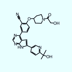 CC(C)(O)c1ccc(-c2cc3c(-c4ccc(OC5CCN(C(=O)CO)CC5)c(C#N)c4)ncnc3[nH]2)cn1